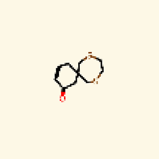 O=C1C=CCC2(CSCCSC2)C1